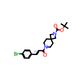 CC(C)(C)OC(=O)N1CC2(CCN(C(=O)/C=C/c3ccc(Br)cc3)CC2)C1